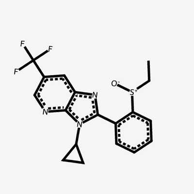 CC[S+]([O-])c1ccccc1-c1nc2cc(C(F)(F)F)cnc2n1C1CC1